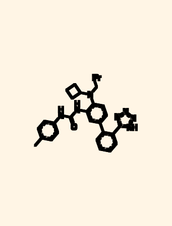 Cc1ccc(NC(=O)Nc2cc(-c3ccccc3-c3nnn[nH]3)ccc2N(CC(C)C)C2CCC2)cc1